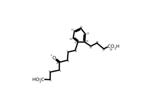 O=C(O)CCCC(=O)CCCc1ccccc1CCCC(=O)O